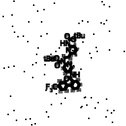 CC(C)(C)OC(=O)Nc1cccc(CCN(C(=O)OC(C)(C)C)c2ccc(NC(=O)C3=C(c4ccc(C(F)(F)F)cc4)CCCC3)cn2)n1